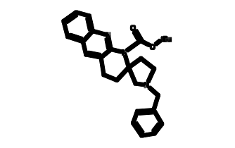 CC(C)(C)OC(=O)N1c2nc3ccccc3cc2CCC12CCN(Cc1ccccc1)C2